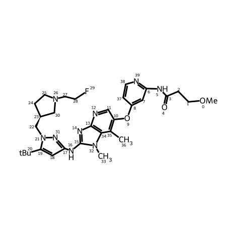 COCCC(=O)Nc1cc(Oc2cnc3nc(Nc4cc(C(C)(C)C)n(C[C@H]5CCN(CCF)C5)n4)n(C)c3c2C)ccn1